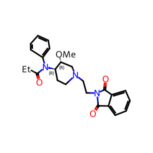 CCC(=O)N(c1ccccc1)[C@@H]1CCN(CCN2C(=O)c3ccccc3C2=O)C[C@H]1OC